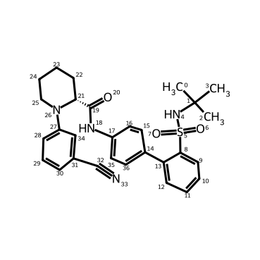 CC(C)(C)NS(=O)(=O)c1ccccc1-c1ccc(NC(=O)[C@H]2CCCCN2c2cccc(C#N)c2)cc1